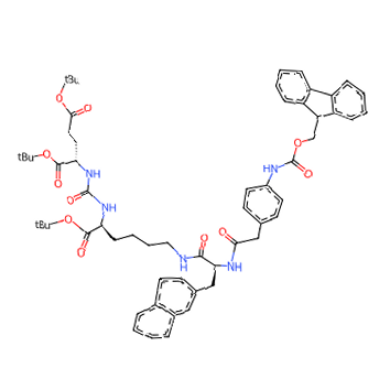 CC(C)(C)OC(=O)CC[C@H](NC(=O)N[C@@H](CCCCNC(=O)[C@H](Cc1ccc2ccccc2c1)NC(=O)Cc1ccc(NC(=O)OCC2c3ccccc3-c3ccccc32)cc1)C(=O)OC(C)(C)C)C(=O)OC(C)(C)C